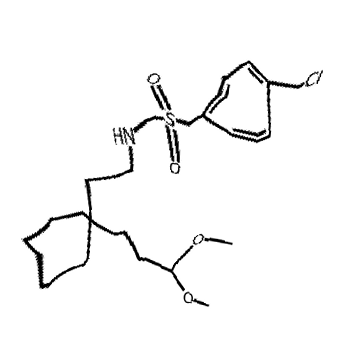 COC(CCC1(CCNS(=O)(=O)c2ccc(Cl)cc2)CCCC1)OC